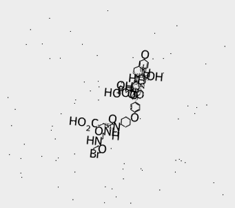 C[C@]12C=CC(=O)C=C1CC[C@@H]1[C@@H]2[C@@H](O)C[C@@]2(C)[C@H]1C[C@H]1O[C@@H](c3ccc(OC4CCC(NC(=O)[C@H](CCC(=O)O)NC(=O)CNC(=O)CBr)CC4)cc3)O[C@]12C(=O)COP(O)O